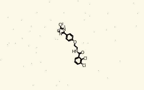 O=C(NCCOc1ccc(-c2noc(C(F)(F)F)n2)cc1)c1cccc(Cl)c1Cl